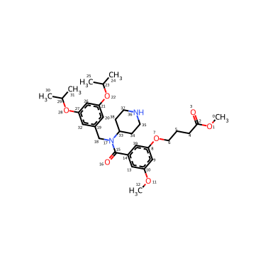 COC(=O)CCCOc1cc(OC)cc(C(=O)N(Cc2cc(OC(C)C)cc(OC(C)C)c2)C2CCNCC2)c1